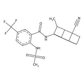 CC1C2C3C4C(CC24C#N)C13NC(=O)c1cc(C(F)(F)F)ccc1NS(C)(=O)=O